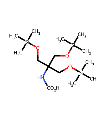 C[Si](C)(C)OCC(CO[Si](C)(C)C)(CO[Si](C)(C)C)NC(=O)O